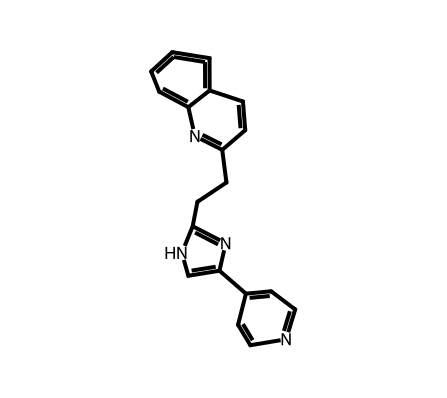 C1=C=c2ccc(CCc3nc(-c4ccncc4)c[nH]3)nc2=CC=1